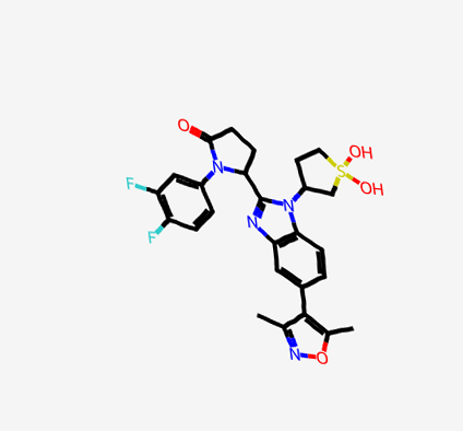 Cc1noc(C)c1-c1ccc2c(c1)nc(C1CCC(=O)N1c1ccc(F)c(F)c1)n2C1CCS(O)(O)C1